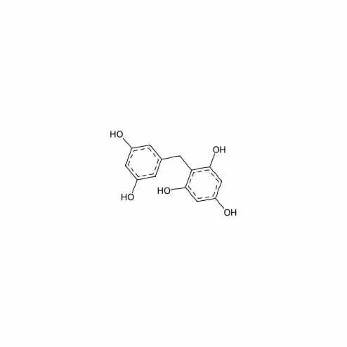 Oc1cc(O)cc(Cc2c(O)cc(O)cc2O)c1